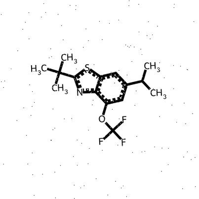 CC(C)c1cc(OC(F)(F)F)c2nc(C(C)(C)C)sc2c1